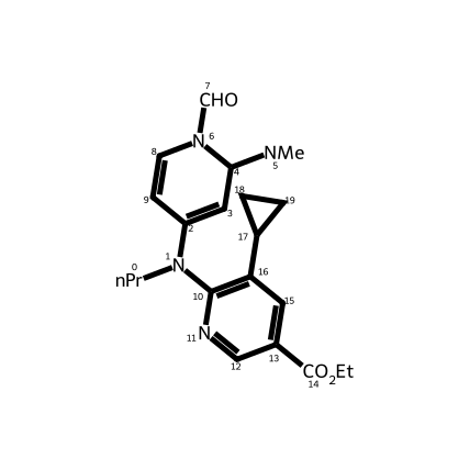 CCCN(C1=CC(NC)N(C=O)C=C1)c1ncc(C(=O)OCC)cc1C1CC1